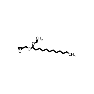 C=COC(CCCCCCCCCCC)OCC1CO1